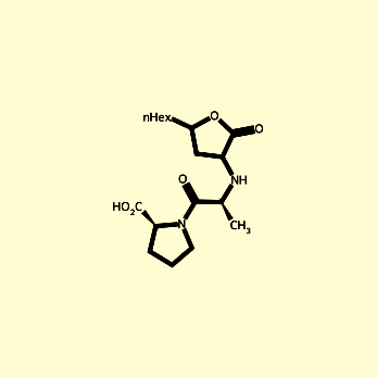 CCCCCCC1CC(N[C@@H](C)C(=O)N2CCC[C@H]2C(=O)O)C(=O)O1